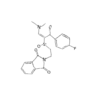 CN(C)C=C(C(=O)c1ccc(F)cc1)[S+]([O-])CCN1C(=O)c2ccccc2C1=O